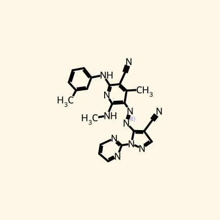 CNc1nc(Nc2cccc(C)c2)c(C#N)c(C)c1/N=N/c1c(C#N)cnn1-c1ncccn1